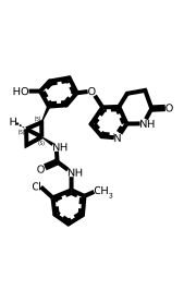 Cc1cccc(Cl)c1NC(=O)N[C@@]12C[C@H]1[C@H]2c1cc(Oc2ccnc3c2CCC(=O)N3)ccc1O